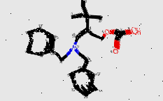 CC(C)(C)C(COC(=O)O)CN(Cc1ccccc1)Cc1ccccc1